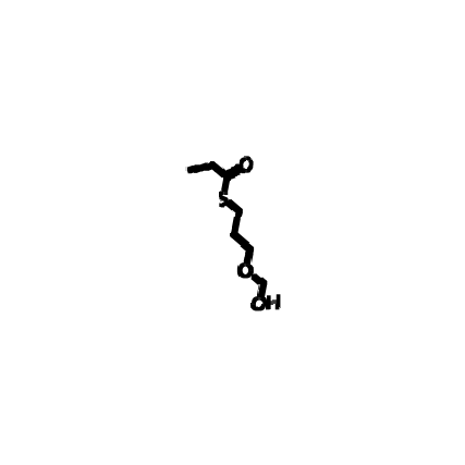 CCC(=O)SCCCOCO